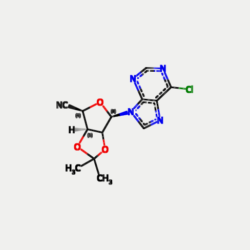 CC1(C)OC2[C@@H](O1)[C@@H](C#N)O[C@H]2n1cnc2c(Cl)ncnc21